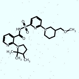 COCC1CCCN(c2cccc(S(=O)(=O)NC(=O)c3cccnc3N3CCC(C)C3(C)C)n2)C1